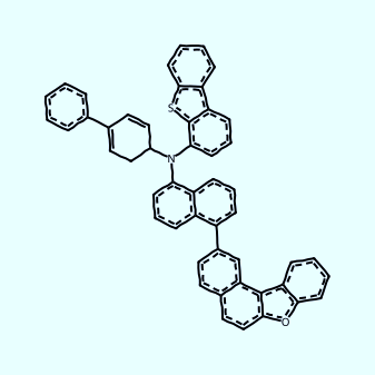 C1=CC(N(c2cccc3c(-c4ccc5ccc6oc7ccccc7c6c5c4)cccc23)c2cccc3c2sc2ccccc23)CC=C1c1ccccc1